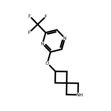 FC(F)(F)c1cncc(OC2CC3(CNC3)C2)n1